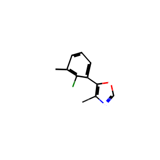 Cc1cccc(-c2ocnc2C(=O)O)c1F